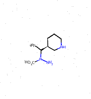 C[C](C)C([C@H]1CCCNC1)N(N)C(=O)O